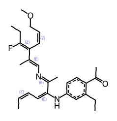 C\C=C/C=C(Nc1ccc(C(C)=O)c(CC)c1)\C(C)=N\C=C(C)\C(\C=C/COC)=C(/F)CC